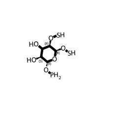 OC1[C@@H](OS)[C@@H](OS)O[C@H](OP)[C@H]1O